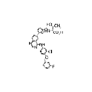 CC(O)C(NCc1ccc(-c2ccc3ncnc(Nc4ccc(OCc5cccc(F)c5)c(Cl)c4)c3c2)o1)C(=O)O